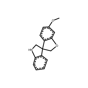 COc1ccc2c(c1)OCC21CNc2ccccc21